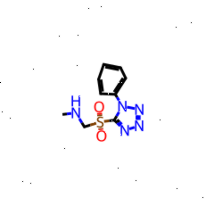 CNCS(=O)(=O)c1nnnn1-c1ccccc1